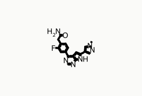 Cn1cc(-c2cc3c(-c4ccc(CC(N)=O)c(F)c4)ncnc3[nH]2)cn1